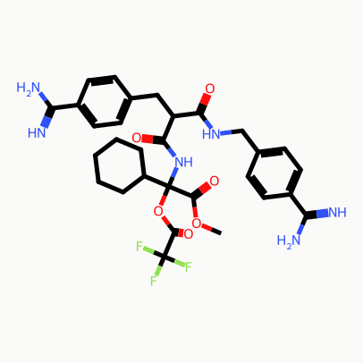 COC(=O)C(NC(=O)C(Cc1ccc(C(=N)N)cc1)C(=O)NCc1ccc(C(=N)N)cc1)(OC(=O)C(F)(F)F)C1CCCCC1